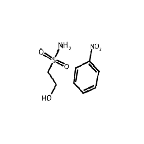 NS(=O)(=O)CCO.O=[N+]([O-])c1ccccc1